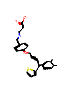 Cc1ccc(C(CCCOc2ccc(CNCCC(=O)O)cc2)c2cccs2)cc1C